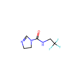 O=C(NCC(F)(F)F)N1C=NCC1